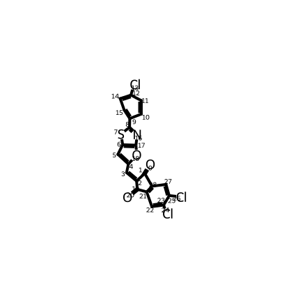 O=C1C(=Cc2cc3sc(-c4ccc(Cl)cc4)nc3o2)C(=O)c2cc(Cl)c(Cl)cc21